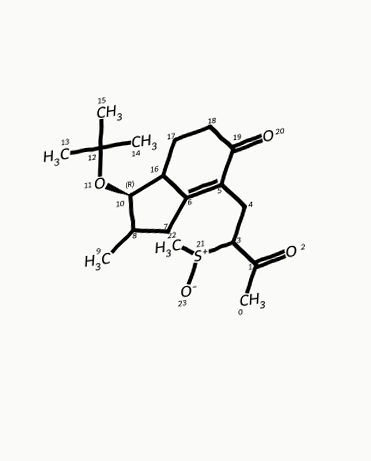 CC(=O)C(CC1=C2CC(C)[C@@H](OC(C)(C)C)C2CCC1=O)[S+](C)[O-]